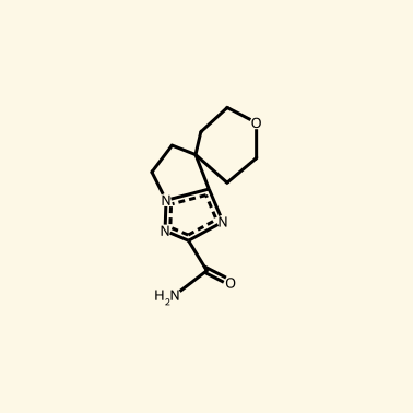 NC(=O)c1nc2n(n1)CCC21CCOCC1